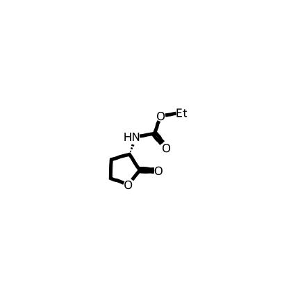 CCOC(=O)N[C@H]1CCOC1=O